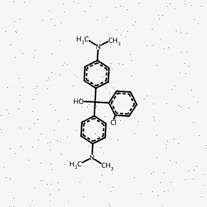 CN(C)c1ccc(C(O)(c2ccc(N(C)C)cc2)c2ccccc2Cl)cc1